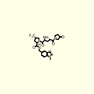 Cn1nnc2cc(CNC(=O)C3CC(C(F)(F)F)CN3C(=O)C(N)CCC(=O)N3CCC(=O)C3)ccc21